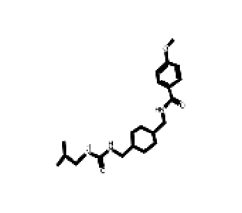 COc1ccc(C(=O)NCC2CCC(CNC(=O)NCC(C)C)CC2)cc1